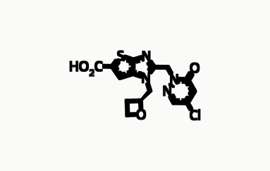 O=C(O)c1cc2c(nc(Cn3ncc(Cl)cc3=O)n2C[C@@H]2CCO2)s1